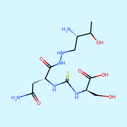 CC(O)[C@@H](N)CNNC(=O)[C@@H](CC(N)=O)NC(=S)N[C@H](CO)C(=O)O